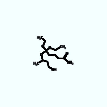 CCO[Si](CCCC(N)=O)(OCC)OC(C)CCO